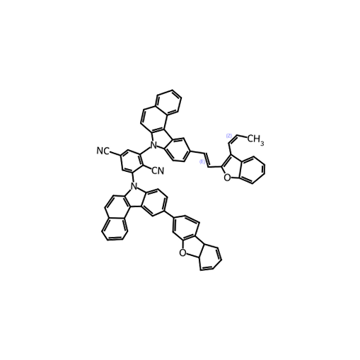 C/C=C\c1c(/C=C/c2ccc3c(c2)c2c4ccccc4ccc2n3-c2cc(C#N)cc(-n3c4ccc(-c5ccc6c(c5)OC5C=CC=CC65)cc4c4c5ccccc5ccc43)c2C#N)oc2ccccc12